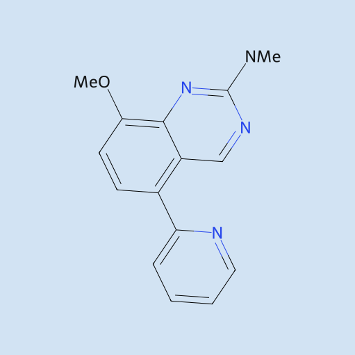 CNc1ncc2c(-c3ccccn3)ccc(OC)c2n1